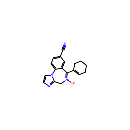 N#Cc1ccc2c(c1)C(C1=CCCCC1)=[N+]([O-])Cc1nccn1-2